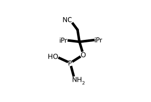 CC(C)C(CC#N)(OP(N)O)C(C)C